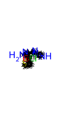 Nc1ncc(-c2cnn(C3CCNCC3)c2)c2c(Cl)c(-c3cccc4ccsc34)oc12